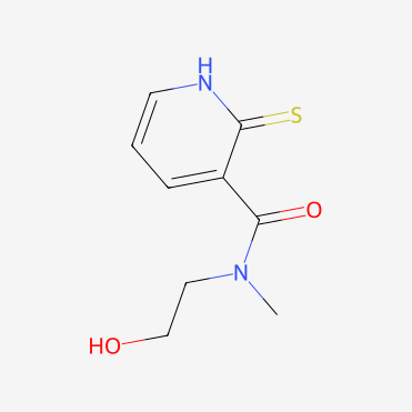 CN(CCO)C(=O)c1ccc[nH]c1=S